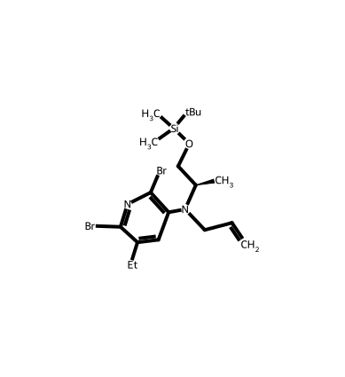 C=CCN(c1cc(CC)c(Br)nc1Br)[C@H](C)CO[Si](C)(C)C(C)(C)C